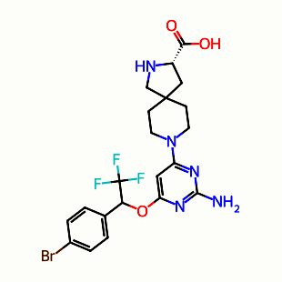 Nc1nc(OC(c2ccc(Br)cc2)C(F)(F)F)cc(N2CCC3(CC2)CN[C@H](C(=O)O)C3)n1